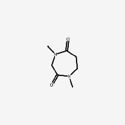 CN1CCC(=O)N(C)CC1=O